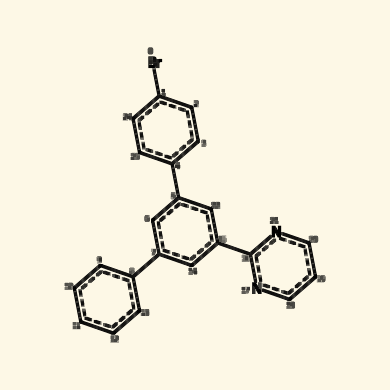 Brc1ccc(-c2cc(-c3ccccc3)cc(-c3ncccn3)c2)cc1